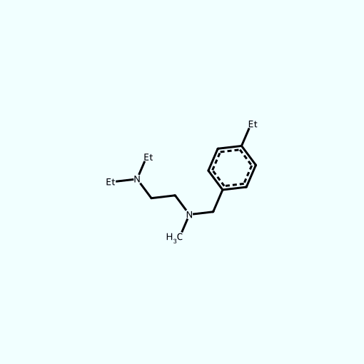 CCc1ccc(CN(C)CCN(CC)CC)cc1